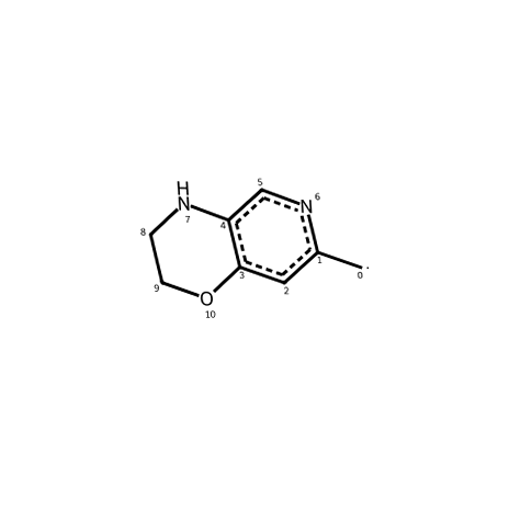 [CH2]c1cc2c(cn1)NCCO2